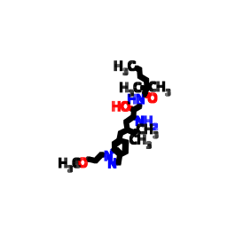 CCCCC(C)(C)C(=O)NCC(O)C(N)CC(Cc1ccc2cnn(CCCOC)c2c1)C(C)C